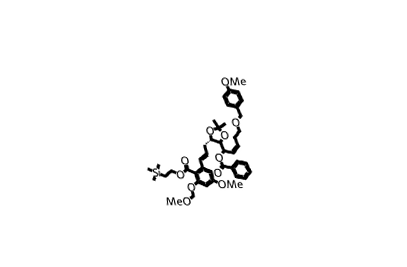 COCOc1cc(OC)cc(/C=C/C[C@@H]2OC(C)(C)OC2C(/C=C\CCOCc2ccc(OC)cc2)OC(=O)c2ccccc2)c1C(=O)OCC[Si](C)(C)C